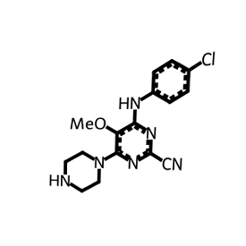 COc1c(Nc2ccc(Cl)cc2)nc(C#N)nc1N1CCNCC1